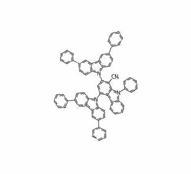 N#Cc1c(-n2c3ccc(-c4ccccc4)cc3c3cc(-c4ccccc4)ccc32)cc(-n2c3ccc(-c4ccccc4)cc3c3cc(-c4ccccc4)ccc32)c2c3ccccc3n(-c3ccccc3)c12